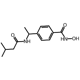 CC(C)CC(=O)NC(C)c1ccc(C(=O)NO)cc1